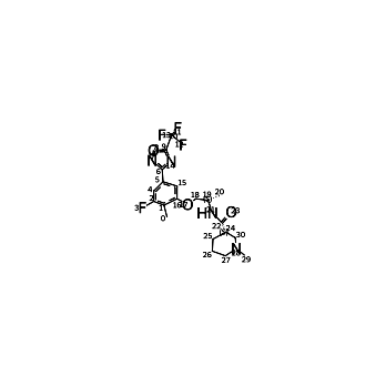 Cc1c(F)cc(-c2noc(C(F)(F)F)n2)cc1OC[C@H](C)NC(=O)[C@H]1CCCN(C)C1